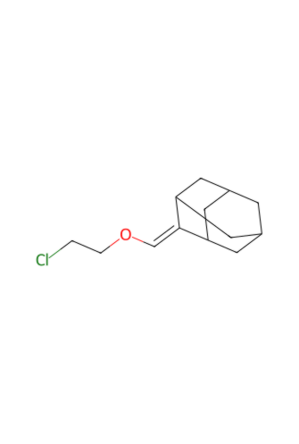 ClCCOC=C1C2CC3CC(C2)CC1C3